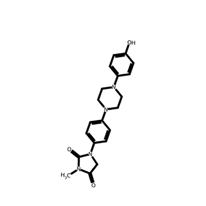 CN1C(=O)CN(c2ccc(N3CCN(c4ccc(O)cc4)CC3)cc2)C1=O